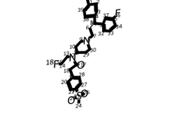 Cc1ccc([C@@H](CCN2CCC(N(CC[18F])C(=O)Cc3ccc(S(C)(=O)=O)cc3)CC2)c2cccc(F)c2)cc1